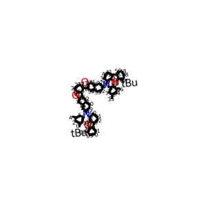 Cc1cc(C)cc(N(c2ccc3cc4c(cc3c2)oc2ccc3oc5cc6cc(N(c7cc(C)cc(C)c7)c7cccc8c7oc7c(C(C)(C)C)cccc78)ccc6cc5c3c24)c2cccc3c2oc2c(C(C)(C)C)cccc23)c1